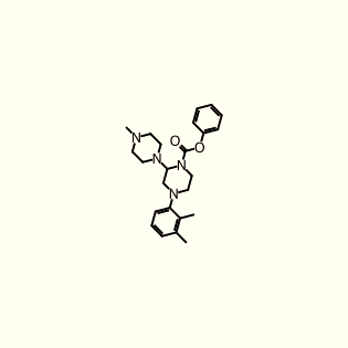 Cc1cccc(N2CCN(C(=O)Oc3ccccc3)C(N3CCN(C)CC3)C2)c1C